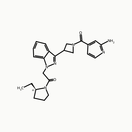 CC[C@@H]1CCCN1C(=O)Cn1nc(C2CN(C(=O)c3ccnc(N)c3)C2)c2ccccc21